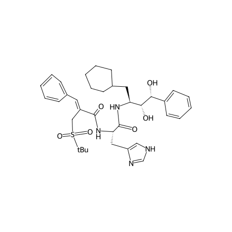 CC(C)(C)S(=O)(=O)CC(=Cc1ccccc1)C(=O)N[C@@H](Cc1c[nH]cn1)C(=O)N[C@@H](CC1CCCCC1)[C@@H](O)[C@H](O)c1ccccc1